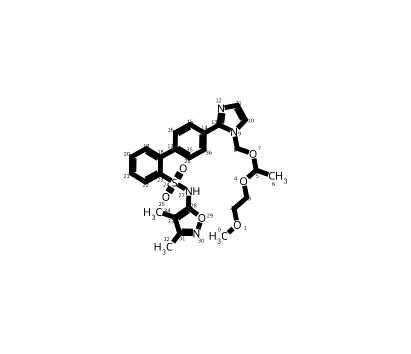 COCCOC(C)OCn1ccnc1-c1ccc(-c2ccccc2S(=O)(=O)Nc2onc(C)c2C)cc1